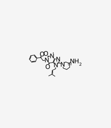 CC(C)=CCn1c(N2CCC[C@H](N)C2)nc2c1c(=O)n(CC(=O)c1ccccc1)c(=O)n2C